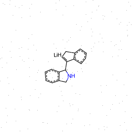 C1=C([C]2NCc3ccccc32)c2ccccc2C1.[LiH]